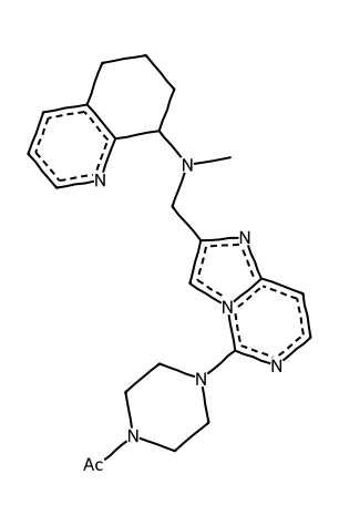 CC(=O)N1CCN(c2nccc3nc(CN(C)C4CCCc5cccnc54)cn23)CC1